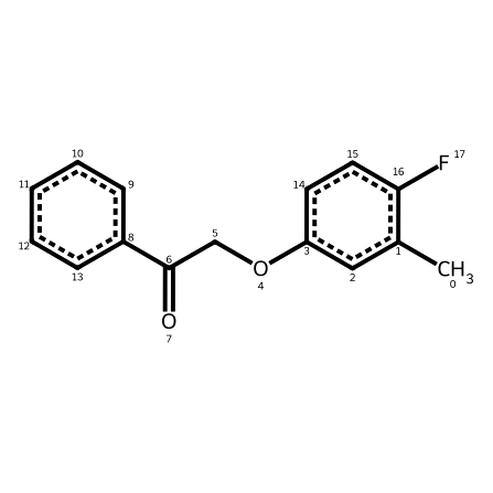 Cc1cc(OCC(=O)c2ccccc2)ccc1F